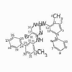 Cc1ccc(-c2ccccc2)cc1Nc1ncc(Br)c(Nc2cc(-c3ccccc3)ccc2C)n1